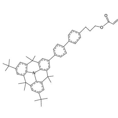 C=CC(=O)OCCCc1ccc(-c2ccc(-c3cc4c5c(c3)C(C)(C)c3cc(C(C)(C)C)cc6c3N5c3c(cc(C(C)(C)C)cc3C6(C)C)C4(C)C)cc2)cc1